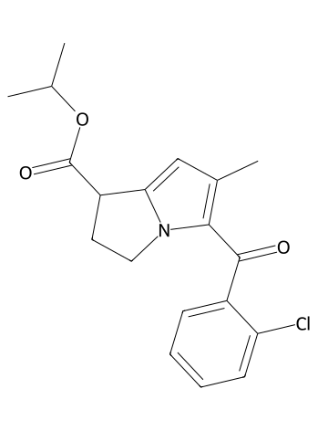 Cc1cc2n(c1C(=O)c1ccccc1Cl)CCC2C(=O)OC(C)C